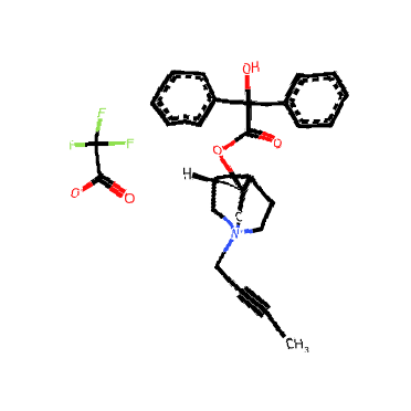 CC#CC[N+]12CCC(CC1)[C@@H](OC(=O)C(O)(c1ccccc1)c1ccccc1)C2.O=C([O-])C(F)(F)F